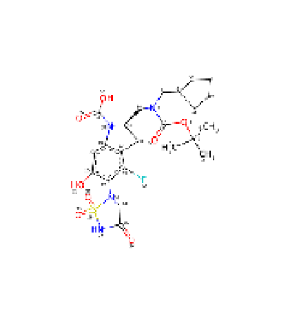 CC(C)(C)OC(=O)N(CC1CCCC1)C[C@H]1Cc2c(cc(O)c(N3CC(=O)NS3(=O)=O)c2F)N1C(=O)O